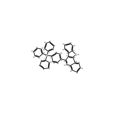 c1ccc([Si](c2ccccc2)(c2ccccc2)c2ccc(-c3nc4ccccc4c4sc5ccccc5c34)cc2)cc1